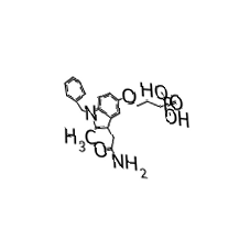 CC1C(CC(N)=O)c2cc(OCCCP(=O)(O)O)ccc2N1Cc1ccccc1